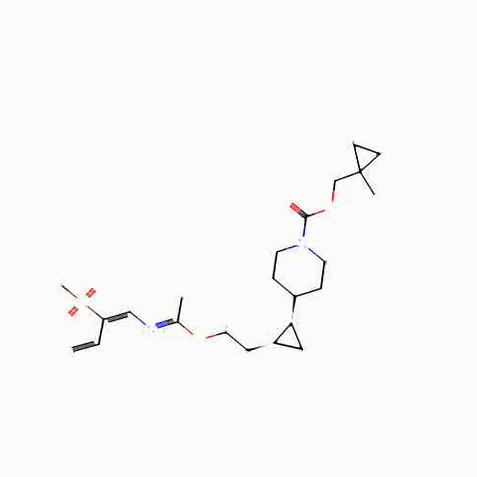 C=C/C(=C\N=C(/C)OCC[C@@H]1C[C@@H]1C1CCN(C(=O)OCC2(C)CC2)CC1)S(C)(=O)=O